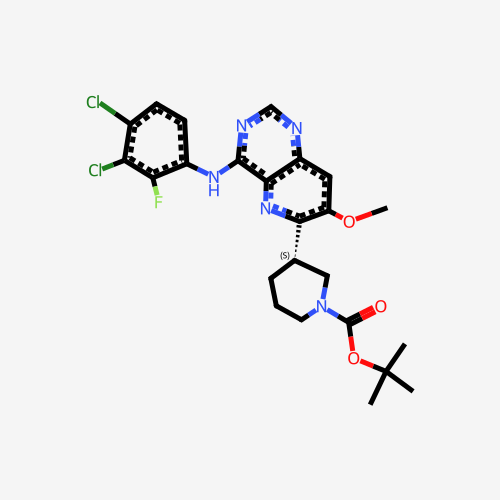 COc1cc2ncnc(Nc3ccc(Cl)c(Cl)c3F)c2nc1[C@H]1CCCN(C(=O)OC(C)(C)C)C1